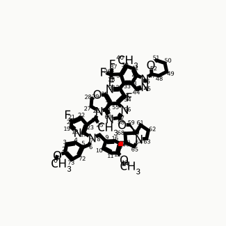 COc1ccc(CN(Cc2ccc(OC)cc2)c2ncc(F)cc2C(C)N2CCOc3nc(-c4c(C(F)(F)F)c(C)cc5c4cnn5C4CCCCO4)c(F)c4nc(OC[C@@]56CCCN5C[C@H](F)C6)nc2c34)cc1